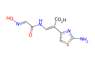 Nc1nc(C(=CNC(=O)C=NO)C(=O)O)cs1